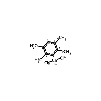 Cc1cc(C)c(C)cc1C.[Cl][Ca][Cl]